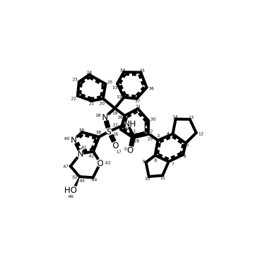 O=C(Nc1c2c(cc3c1CCC3)CCC2)NS(=O)(=NC(c1ccccc1)(c1ccccc1)c1ccccc1)c1cnn2c1OC[C@@H](O)C2